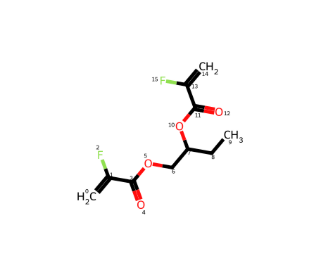 C=C(F)C(=O)OCC(CC)OC(=O)C(=C)F